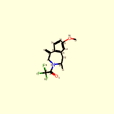 C=C1CN(C(=O)C(F)(F)F)C(C)Cc2cc(OC)ccc21